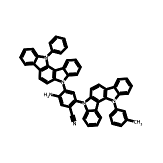 Cc1cccc(-n2c3ccccc3c3ccc4c(c5ccccc5n4-c4cc(-n5c6ccccc6c6c5ccc5c7ccccc7n(-c7ccccc7)c56)c(N)cc4C#N)c32)c1